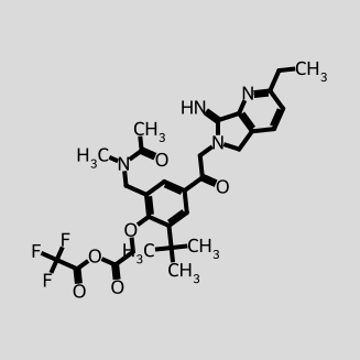 CCc1ccc2c(n1)C(=N)N(CC(=O)c1cc(CN(C)C(C)=O)c(OCC(=O)OC(=O)C(F)(F)F)c(C(C)(C)C)c1)C2